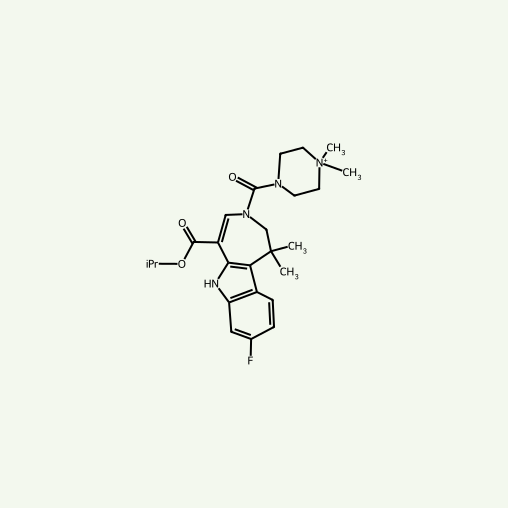 CC(C)OC(=O)C1=CN(C(=O)N2CC[N+](C)(C)CC2)CC(C)(C)c2c1[nH]c1cc(F)ccc21